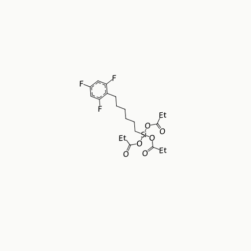 CCC(=O)O[Si](CCCCCCc1c(F)cc(F)cc1F)(OC(=O)CC)OC(=O)CC